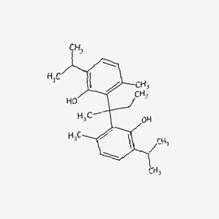 CCC(C)(c1c(C)ccc(C(C)C)c1O)c1c(C)ccc(C(C)C)c1O